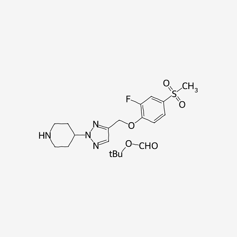 CC(C)(C)OC=O.CS(=O)(=O)c1ccc(OCc2cnn(C3CCNCC3)n2)c(F)c1